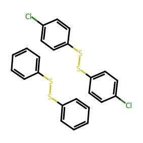 Clc1ccc(SSc2ccc(Cl)cc2)cc1.c1ccc(SSc2ccccc2)cc1